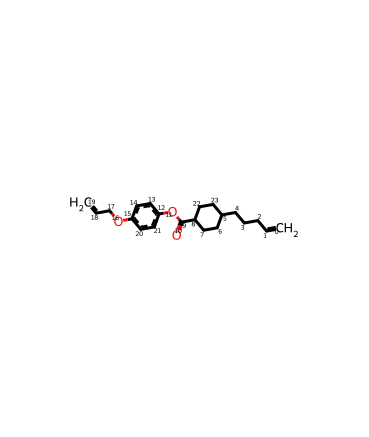 C=CCCCC1CCC(C(=O)Oc2ccc(OCC=C)cc2)CC1